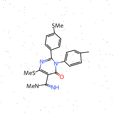 CNC(=N)c1c(SC)nc(-c2ccc(SC)cc2)n(-c2ccc(C)cc2)c1=O